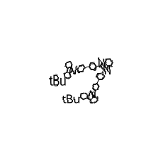 CC(C)(C)c1ccc2c(c1)c1ccccc1n2-c1ccc(-c2ccc(-c3nc4ccccc4nc3-c3ccc(-c4ccc(-n5c6ccccc6c6cc(C(C)(C)C)ccc65)cc4)cc3)cc2)cc1